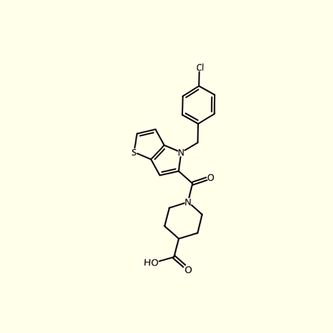 O=C(O)C1CCN(C(=O)c2cc3sccc3n2Cc2ccc(Cl)cc2)CC1